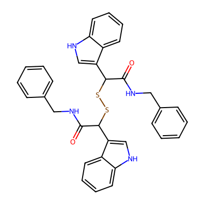 O=C(NCc1ccccc1)C(SSC(C(=O)NCc1ccccc1)c1c[nH]c2ccccc12)c1c[nH]c2ccccc12